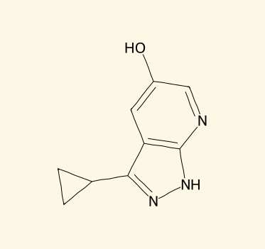 Oc1cnc2[nH]nc(C3CC3)c2c1